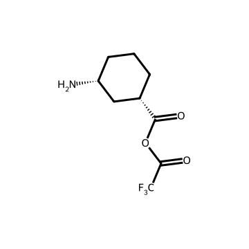 N[C@@H]1CCC[C@H](C(=O)OC(=O)C(F)(F)F)C1